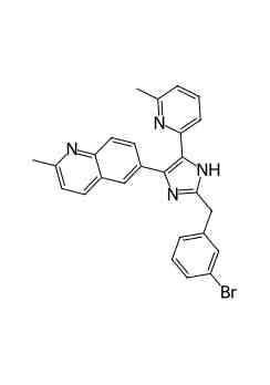 Cc1cccc(-c2[nH]c(Cc3cccc(Br)c3)nc2-c2ccc3nc(C)ccc3c2)n1